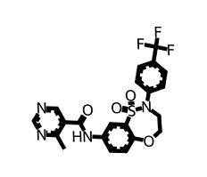 Cc1ncncc1C(=O)Nc1ccc2c(c1)S(=O)(=O)N(c1ccc(C(F)(F)F)cc1)CCO2